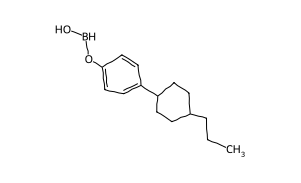 CCCC1CCC(c2ccc(OBO)cc2)CC1